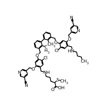 CCCCNCc1cc(Cl)c(OCc2cccc(-c3cccc(COc4cc(OCc5cncc(C#N)c5)c(CNCCCC(SC)C(=O)O)cc4Cl)c3C)c2C)cc1OCc1cncc(C#N)c1